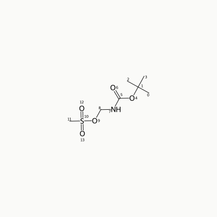 CC(C)(C)OC(=O)NCOS(C)(=O)=O